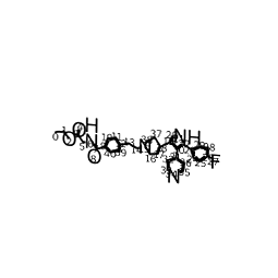 CCOC(=O)CNC(=O)c1ccc(CCN2CC=C(c3c[nH]c(-c4ccc(F)cc4)c3-c3ccncc3)CC2)cc1